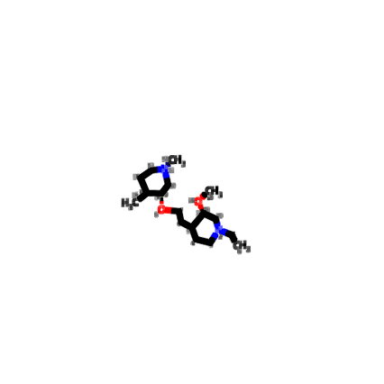 CCN1CCC(CCO[C@H]2CN(C)CCC2C)[C@@H](OC)C1